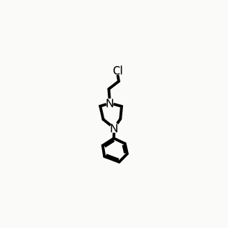 ClCCN1CCN(c2ccccc2)CC1